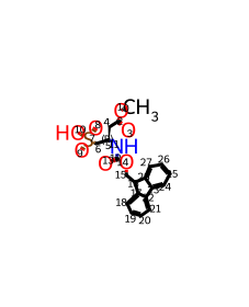 COC(=O)C[C@H](CS(=O)(=O)O)NC(=O)OCC1c2ccccc2-c2ccccc21